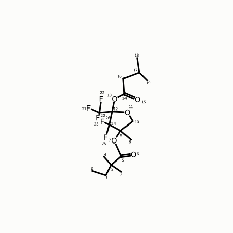 CCC(C)(C)C(=O)OC1(C)COC(OC(=O)CC(C)C)(C(F)(F)F)C1(F)F